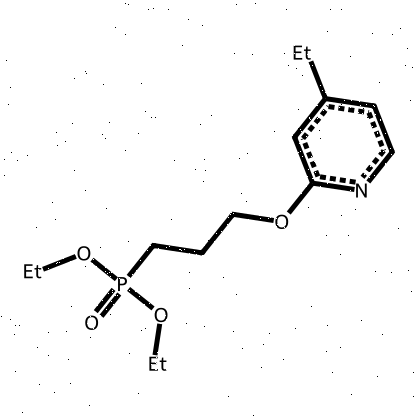 CCOP(=O)(CCCOc1cc(CC)ccn1)OCC